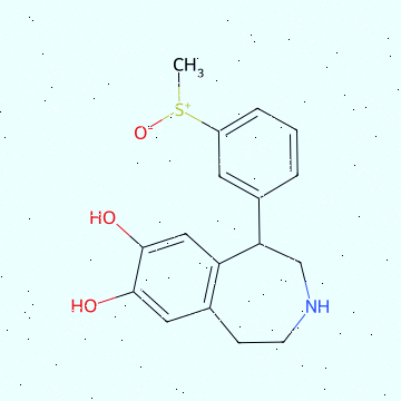 C[S+]([O-])c1cccc(C2CNCCc3cc(O)c(O)cc32)c1